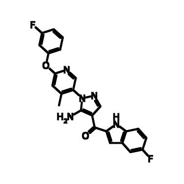 Cc1cc(Oc2cccc(F)c2)ncc1-n1ncc(C(=O)c2cc3cc(F)ccc3[nH]2)c1N